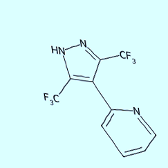 FC(F)(F)c1n[nH]c(C(F)(F)F)c1-c1ccccn1